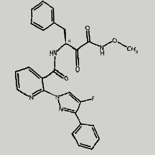 CONC(=O)C(=O)[C@H](Cc1ccccc1)NC(=O)c1cccnc1-n1cc(F)c(-c2ccccc2)n1